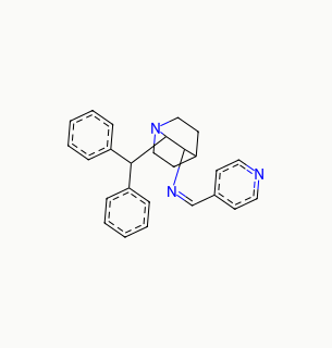 C(=N/C1C2CCN(CC2)C1C(c1ccccc1)c1ccccc1)/c1ccncc1